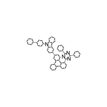 c1ccc(-c2ccc(-n3c4ccccc4c4cc(-c5ccc6c(c5)c5ccccc5c5cccc(-c7nc(-c8ccccc8)nc(-c8ccccc8)n7)c56)ccc43)cc2)cc1